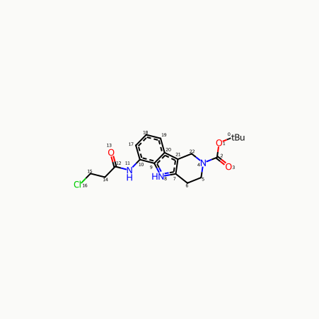 CC(C)(C)OC(=O)N1CCc2[nH]c3c(NC(=O)CCCl)cccc3c2C1